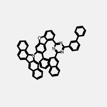 c1ccc(-c2cccc(-c3nc(-c4ccc5ccccc5c4)nc(-c4cccc5oc6cc(-n7c8cc9ccccc9cc8c8ccc9ccccc9c87)c(-c7ccccc7)cc6c45)n3)c2)cc1